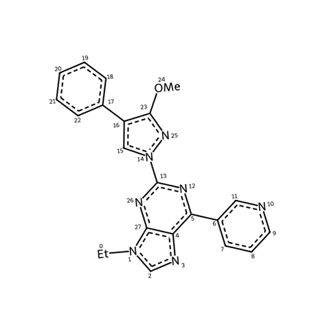 CCn1cnc2c(-c3cccnc3)nc(-n3cc(-c4ccccc4)c(OC)n3)nc21